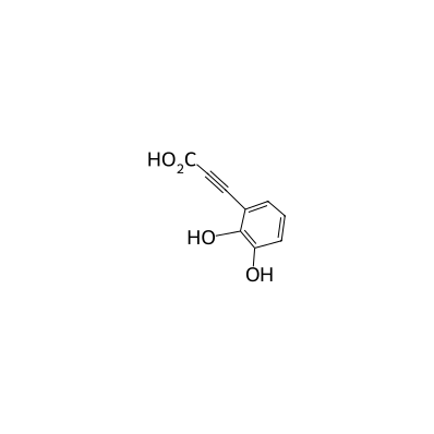 O=C(O)C#Cc1cccc(O)c1O